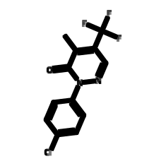 Cc1c(C(F)(F)F)cnn(-c2ccc(Cl)cc2)c1=O